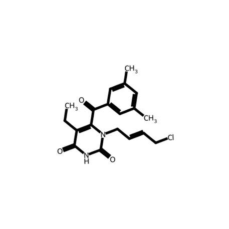 CCc1c(C(=O)c2cc(C)cc(C)c2)n(CC=CCCl)c(=O)[nH]c1=O